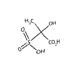 [CH2]C(O)(C(=O)O)S(=O)(=O)O